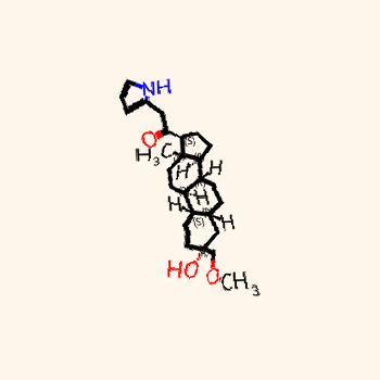 COC[C@@]1(O)CC[C@H]2[C@H](CC[C@@H]3[C@@H]2CC[C@]2(C)[C@@H](C(=O)Cc4ccc[nH]4)CC[C@@H]32)C1